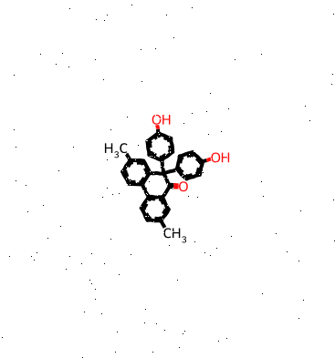 Cc1ccc2c(c1)C(=O)C(c1ccc(O)cc1)(c1ccc(O)cc1)c1cc(C)ccc1-2